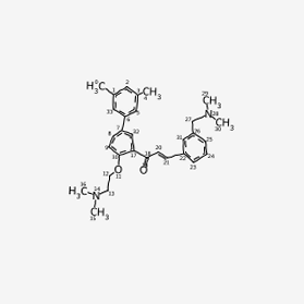 Cc1cc(C)cc(-c2ccc(OCCN(C)C)c(C(=O)C=Cc3cccc(CN(C)C)c3)c2)c1